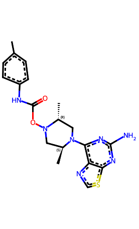 Cc1ccc(NC(=O)ON2C[C@H](C)N(c3nc(N)nc4scnc34)C[C@H]2C)cc1